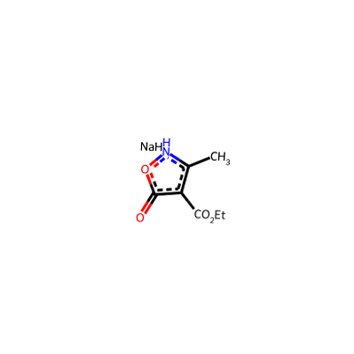 CCOC(=O)c1c(C)[nH]oc1=O.[NaH]